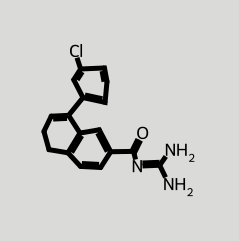 NC(N)=NC(=O)c1ccc2c(c1)C(c1cccc(Cl)c1)=CCC2